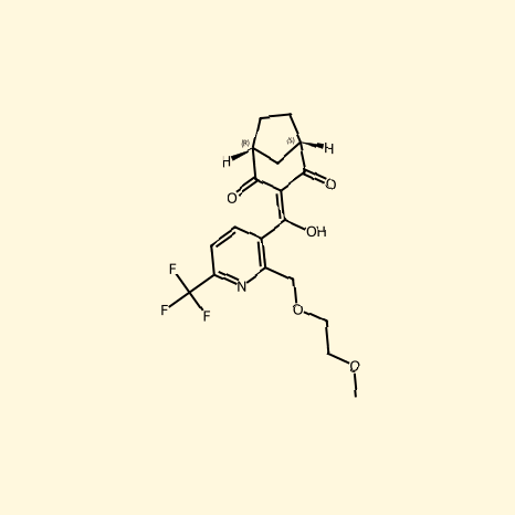 COCCOCc1nc(C(F)(F)F)ccc1C(O)=C1C(=O)[C@@H]2CC[C@@H](C2)C1=O